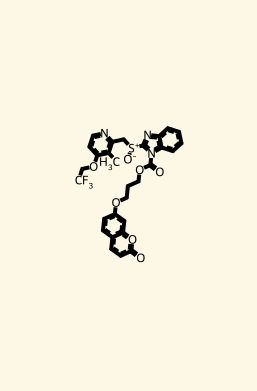 Cc1c(OCC(F)(F)F)ccnc1C[S+]([O-])c1nc2ccccc2n1C(=O)OCCCOc1ccc2ccc(=O)oc2c1